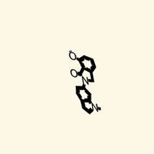 COc1cccc2c1C(=O)N(c1ccc3ccn(C)c3c1)C2